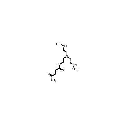 CNCCN(CCNC)CCNC(=O)CCC(C)=O